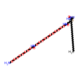 CCCCCCCCCCCCCCCCCCCCCCCCCCCCC(CCCC(=O)NCCOCCOCCOCCOCCOCCOCCOCCOCCOCCOCCOCCNC(=O)CCOCCOCCOCCOCCOCCOCCOCCOCCN)[C@@H]1SC[C@@H]2NC(=O)N[C@@H]21